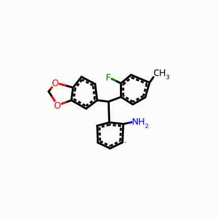 Cc1ccc(C(c2ccc3c(c2)OCO3)c2ccc[c]c2N)c(F)c1